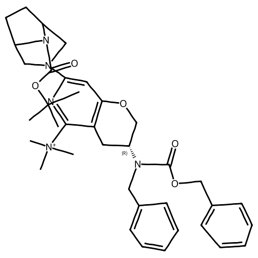 CC(C)(C)OC(=O)N1C2CCC1CN(c1cc3c(c([N+](C)(C)C)n1)C[C@@H](N(Cc1ccccc1)C(=O)OCc1ccccc1)CO3)C2